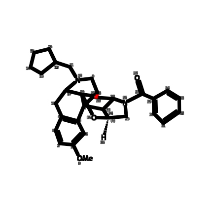 COc1ccc2c(c1)C13CCN(CC4CCCC4)C(C2)C12CCC1C3[C@@H](CN1C(=O)c1ccccc1)O2